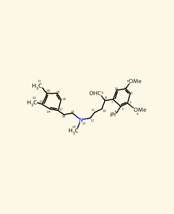 COc1cc(OC)c(C(C)C)c(C(C=O)CCCN(C)CCc2ccc(C)c(C)c2)c1